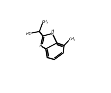 Cc1cccc2nc(C(C)O)[nH]c12